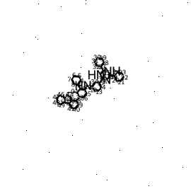 CC1C(c2ccccc2)=C(Nc2cccc(C3=NC(c4ccccc4)NC(c4ccccc4)N3)c2)C=CC1c1cccc2c1sc1ccccc12